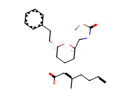 C=CCC/C(C)=C(/C(=O)O)[C@@H]1C[C@@H](CCc2ccccc2)O[C@@](O)([C@@H]2CSC(=O)N2)C1